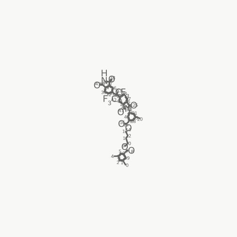 Cc1cc(C)cc(C(=O)OCCCCOC(=O)c2cc(C)cc(N3C(=O)c4ccc(C(c5ccc6c(c5)C(=O)NC6=O)(C(F)(F)F)C(F)(F)F)cc4C3=O)c2)c1